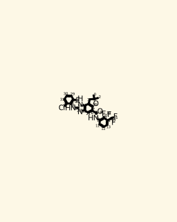 CC1(C)Cc2c(c(C(=O)Nc3cccc(C(F)(F)F)c3F)cc3nc(Nc4c(F)cccc4Cl)[nH]c23)O1